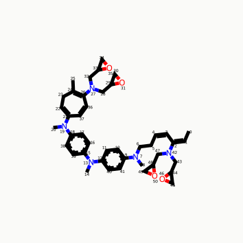 C/C=C(\C=C/CCN(C)c1ccc(N(C)c2ccc(N(C)C3=CCC(C)=C(N(CC4CO4)CC4CO4)C=C3)cc2)cc1)N(CC1CO1)CC1CO1